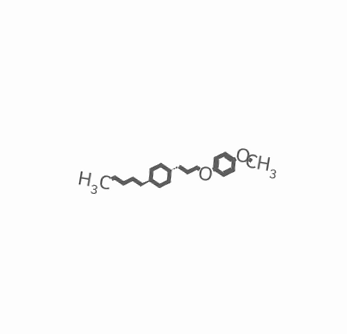 CCCCC[C@H]1CC[C@H](CCCOc2ccc(OC)cc2)CC1